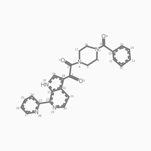 O=C(C(=O)N1CCN(C(=O)c2ccccc2)CC1)c1c[nH]c2c(-c3ccccn3)nccc12